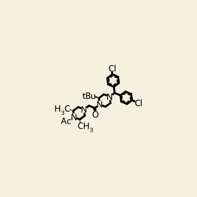 CC(=O)N1[C@H](C)CN(CC(=O)N2CCN(C(c3ccc(Cl)cc3)c3ccc(Cl)cc3)C[C@@H]2C(C)(C)C)C[C@@H]1C